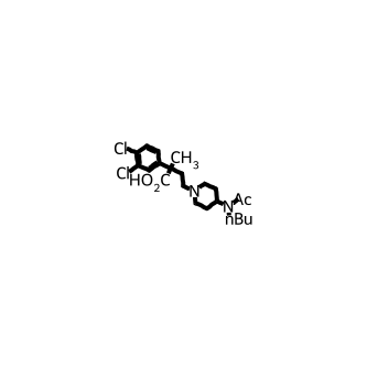 CCCCN(C(C)=O)C1CCN(CCC(C)(C(=O)O)c2ccc(Cl)c(Cl)c2)CC1